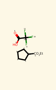 CCOC(=O)C1CCCC1.O=C(O)C(F)(F)F